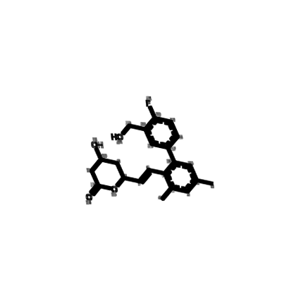 Cc1cc(C)c(C=CC2CC(O)CC(=O)O2)c(-c2ccc(F)c(CO)c2)c1